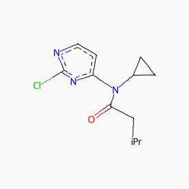 CC(C)CC(=O)N(c1ccnc(Cl)n1)C1CC1